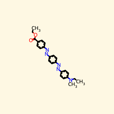 CCOC(=O)c1ccc(N=Nc2ccc(N=Nc3ccc(N(C)CC)cc3)cc2)cc1